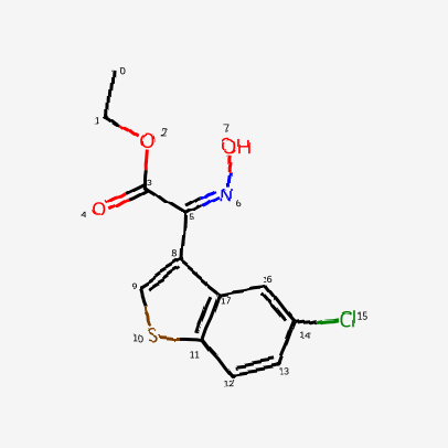 CCOC(=O)C(=NO)c1csc2ccc(Cl)cc12